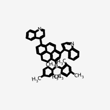 CC1=CC(C)C(B(c2cc(-c3ccnc4ccccc34)c3ccc4c(-c5ccnc6ccccc56)ccc5c4c3c2CC5)c2c(C)cc(C)cc2C)C(C)=C1